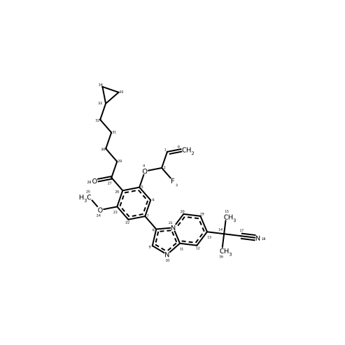 C=CC(F)Oc1cc(-c2cnc3cc(C(C)(C)C#N)ccn23)cc(OC)c1C(=O)CCCCC1CC1